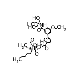 CCCCCC(C(=O)NCNC(=O)c1ccc(-c2cc(OCC)cc(C(=O)NC(CO)(CO)CO)c2)o1)[C@@H](CC)N(O)C=O